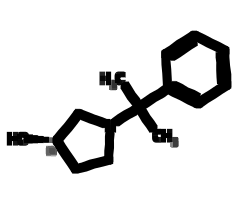 CC(C)(c1ccccc1)N1CC[C@H](O)C1